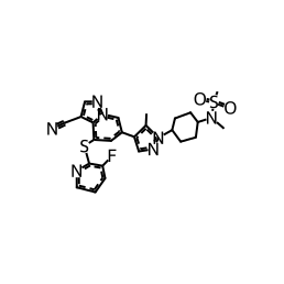 Cc1c(-c2cc(Sc3ncccc3F)c3c(C#N)cnn3c2)cnn1C1CCC(N(C)S(C)(=O)=O)CC1